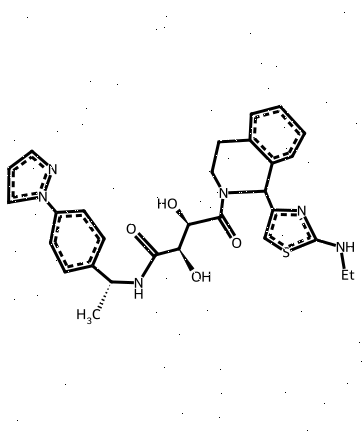 CCNc1nc(C2c3ccccc3CCN2C(=O)[C@H](O)[C@@H](O)C(=O)N[C@H](C)c2ccc(-n3cccn3)cc2)cs1